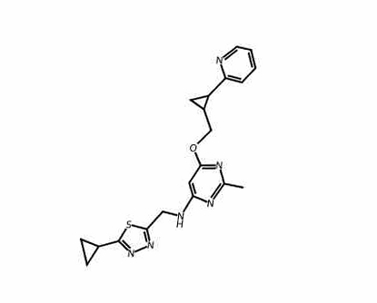 Cc1nc(NCc2nnc(C3CC3)s2)cc(OCC2CC2c2ccccn2)n1